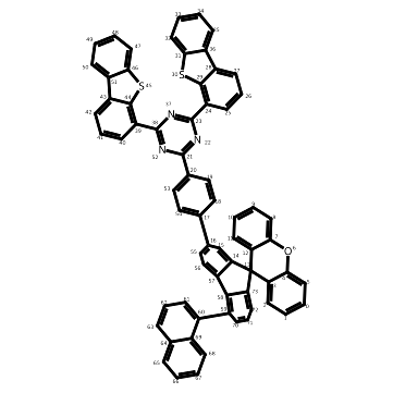 c1ccc2c(c1)Oc1ccccc1C21c2cc(-c3ccc(-c4nc(-c5cccc6c5sc5ccccc56)nc(-c5cccc6c5sc5ccccc56)n4)cc3)ccc2-c2c(-c3cccc4ccccc34)cccc21